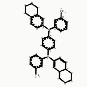 Cc1cccc(N(C2=CC3CCCCC3C=C2)c2ccc(N(c3cccc(C)c3)c3ccc4c(c3)CCCC4)cc2)c1